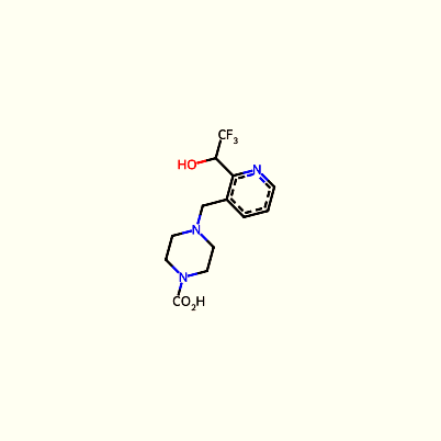 O=C(O)N1CCN(Cc2cccnc2C(O)C(F)(F)F)CC1